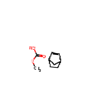 C1=CC2CCC1C2.COC(=O)O